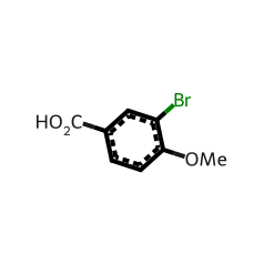 COc1ccc(C(=O)O)cc1Br